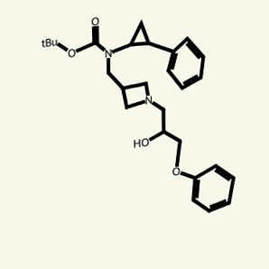 CC(C)(C)OC(=O)N(CC1CN(CC(O)COc2ccccc2)C1)C1CC1c1ccccc1